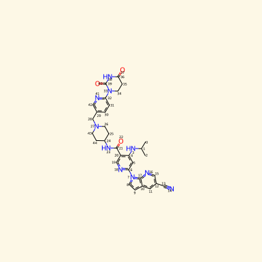 CC(C)Nc1cc(-n2ccc3cc(C#N)cnc32)ncc1C(=O)NC1CCN(Cc2ccc(N3CCC(=O)NC3=O)nc2)CC1